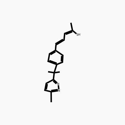 C/C(S)=C/C=C/c1ccc(C(C)(C)c2ccc(C)nn2)cc1